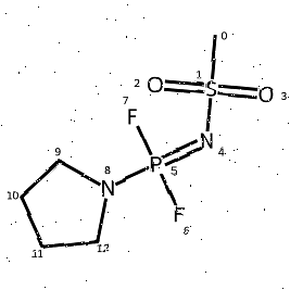 CS(=O)(=O)N=P(F)(F)N1CCCC1